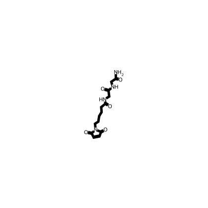 NC(=O)CNC(=O)CNC(=O)CCCCCN1C(=O)C=CC1=O